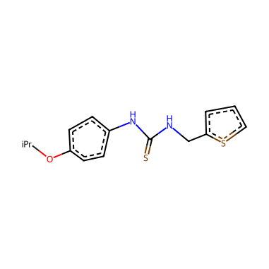 CC(C)Oc1ccc(NC(=S)NCc2cccs2)cc1